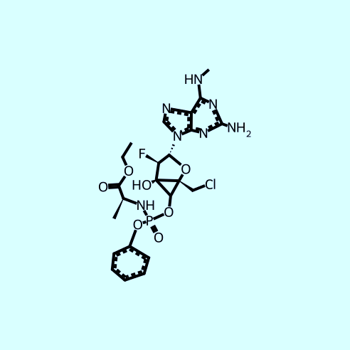 CCOC(=O)[C@H](C)NP(=O)(Oc1ccccc1)OC1[C@@]2(CCl)O[C@@H](n3cnc4c(NC)nc(N)nc43)[C@H](F)[C@@]12O